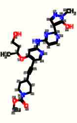 C[C@@H](CCO)Oc1cc(Nc2ccnc(-c3cnn(C)c3O)n2)ncc1C#CC1CCN(C(=O)OC(C)(C)C)CC1